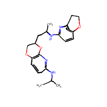 CC(C)Nc1ccc2c(n1)OC(CC(C)Nc1ccc3c(n1)CCO3)CO2